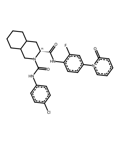 O=C(Nc1ccc(-n2ccccc2=O)cc1F)[C@H]1CC2CCCCC2CN1C(=O)Nc1ccc(Cl)cc1